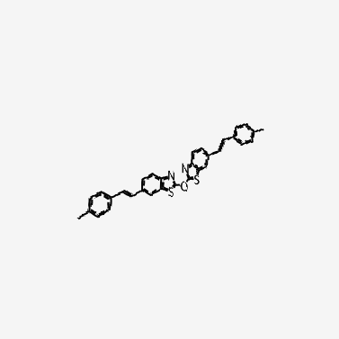 Cc1ccc(/C=C/c2ccc3nc(Oc4nc5ccc(/C=C/c6ccc(C)cc6)cc5s4)sc3c2)cc1